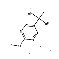 CCCC(C)(CCC)c1cnc(OCC)nc1